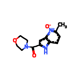 Cc1ccc2[nH]c(C(=O)N3CCOCC3)cc2[n+]1[O-]